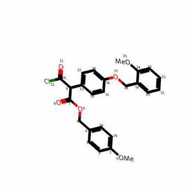 COc1ccc(COC(=O)C(C(=O)Cl)c2ccc(OCc3ccccc3OC)cc2)cc1